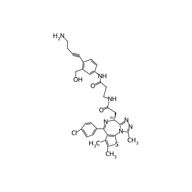 Cc1sc2c(c1C)C(c1ccc(Cl)cc1)=N[C@@H](CC(=O)NCCC(=O)Nc1ccc(C#CCCN)c(CO)c1)c1nnc(C)n1-2